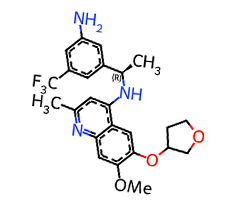 COc1cc2nc(C)cc(N[C@H](C)c3cc(N)cc(C(F)(F)F)c3)c2cc1OC1CCOC1